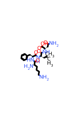 CC(C)C[C@H](NC(=O)[C@H](Cc1ccccc1)NC(=O)[C@@H](N)CCCCN)C(=O)N[C@@H](CC(N)=O)C(=O)O